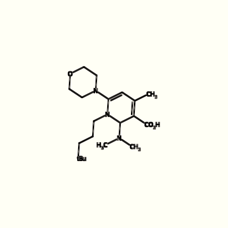 CC1=C(C(=O)O)C(N(C)C)N(CCCC(C)(C)C)C(N2CCOCC2)=C1